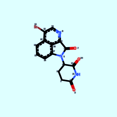 O=C1CCC(N2C(=O)c3ncc(Br)c4cccc2c34)C(=O)N1